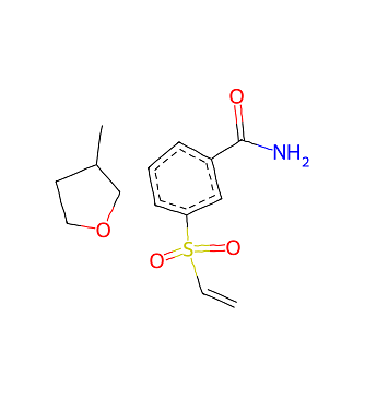 C=CS(=O)(=O)c1cccc(C(N)=O)c1.CC1CCOC1